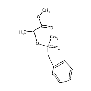 COC(=O)C(C)OP(C)(=O)Cc1ccccc1